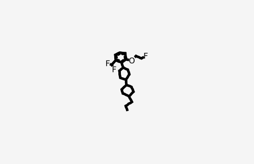 CCCC1CCC(C2CCC(c3c(OCCF)cccc3C(F)F)CC2)CC1